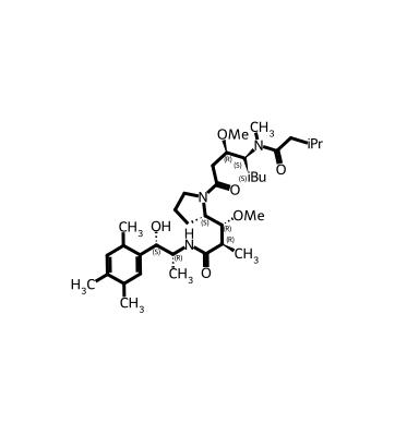 CC[C@H](C)[C@@H]([C@@H](CC(=O)N1CCC[C@H]1[C@H](OC)[C@@H](C)C(=O)N[C@H](C)[C@@H](O)C1=CC(C)C(C)=CC1C)OC)N(C)C(=O)CC(C)C